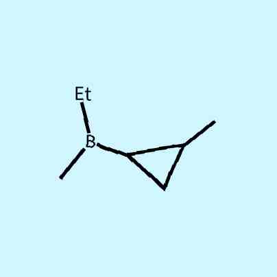 CCB(C)C1CC1C